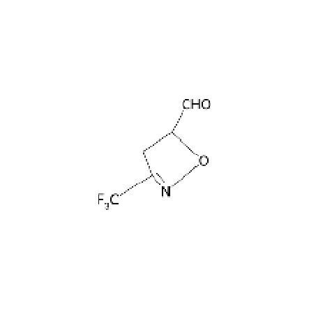 O=CC1CC(C(F)(F)F)=NO1